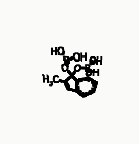 CC1=Cc2ccccc2C1(OB(O)O)OB(O)O